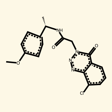 COc1ccc([C@H](C)NC(=O)Cn2nnc3c(Cl)cccc3c2=O)cc1